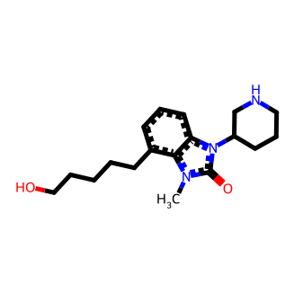 Cn1c(=O)n(C2CCCNC2)c2cccc(CCCCCO)c21